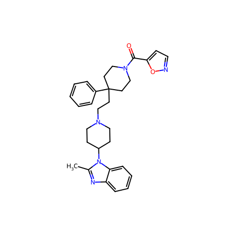 Cc1nc2ccccc2n1C1CCN(CCC2(c3ccccc3)CCN(C(=O)c3ccno3)CC2)CC1